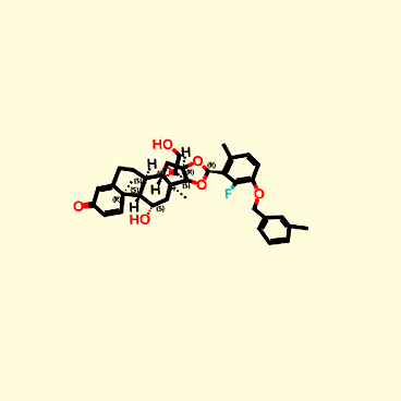 Cc1cccc(COc2ccc(C)c([C@@H]3O[C@@H]4C[C@H]5[C@@H]6CCC7=CC(=O)C=C[C@]7(C)[C@H]6[C@@H](O)C[C@]5(C)[C@]4(C(=O)CO)O3)c2F)c1